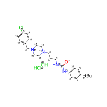 CC(C)(C)c1ccc(NC(=O)NCCCN2CCN(Cc3ccc(Cl)cc3)CC2)cc1.Cl.Cl